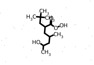 CC(O)CC(C)CC(CC(C)(C)C)C(=O)OO